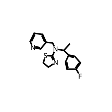 CC(c1ccc(F)cc1)N(Cc1cccnc1)C1=NCCS1